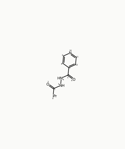 CC(C)C(=O)NNC(=O)c1ccncc1